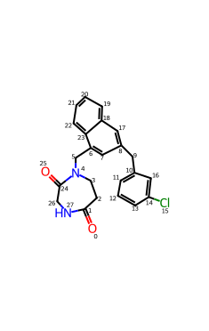 O=C1CCN(Cc2cc(Cc3cccc(Cl)c3)cc3ccccc23)C(=O)CN1